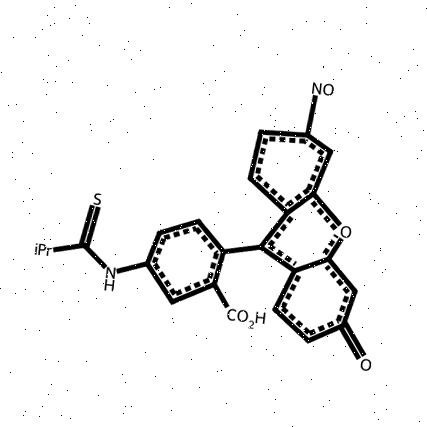 CC(C)C(=S)Nc1ccc(-c2c3ccc(=O)cc-3oc3cc(N=O)ccc23)c(C(=O)O)c1